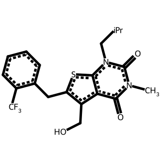 CC(C)Cn1c(=O)n(C)c(=O)c2c(CO)c(Cc3ccccc3C(F)(F)F)sc21